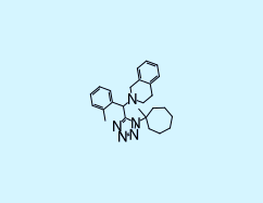 Cc1ccccc1C(c1nnnn1C1(C)CCCCCC1)N1CCc2ccccc2C1